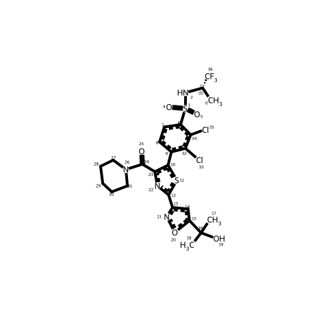 C[C@H](NS(=O)(=O)c1ccc(-c2sc(-c3cc(C(C)(C)O)on3)nc2C(=O)N2CCCCC2)c(Cl)c1Cl)C(F)(F)F